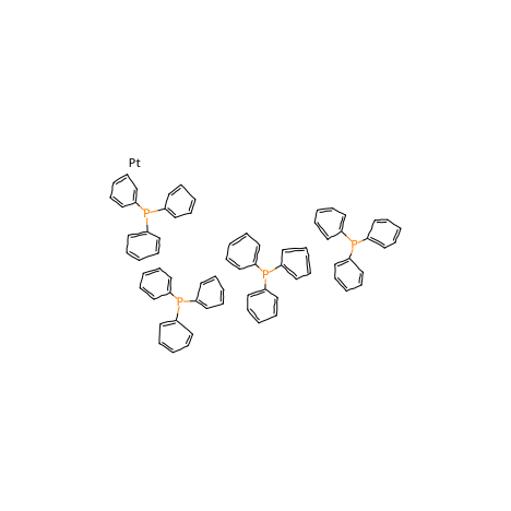 [Pt].c1ccc(P(c2ccccc2)c2ccccc2)cc1.c1ccc(P(c2ccccc2)c2ccccc2)cc1.c1ccc(P(c2ccccc2)c2ccccc2)cc1.c1ccc(P(c2ccccc2)c2ccccc2)cc1